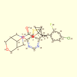 CC1(OC(=O)N2CC3COCC(C2)C3Oc2ncnc3c(-c4ccc(Cl)cc4F)csc23)CC1